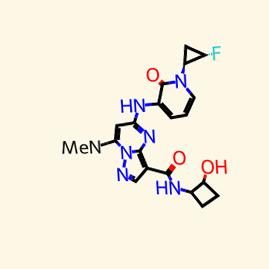 CNc1cc(Nc2cccn([C@H]3C[C@@H]3F)c2=O)nc2c(C(=O)NC3CCC3O)cnn12